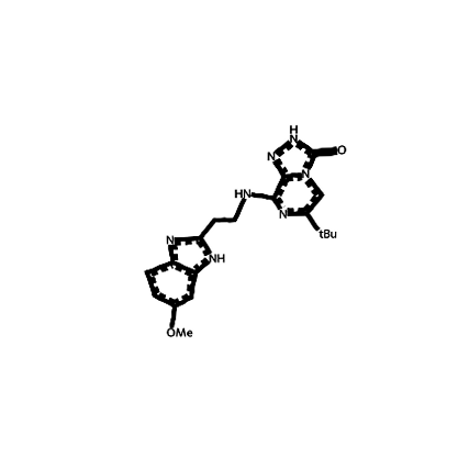 COc1ccc2nc(CCNc3nc(C(C)(C)C)cn4c(=O)[nH]nc34)[nH]c2c1